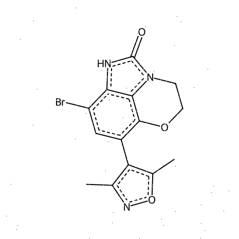 Cc1noc(C)c1-c1cc(Br)c2[nH]c(=O)n3c2c1OCC3